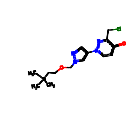 C[Si](C)(C)CCOCn1cc(-n2ccc(=O)c(CCl)n2)cn1